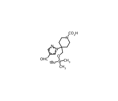 CC(C)(C)[Si](C)(C)OCC1(n2cc(C=O)cn2)CCN(C(=O)O)CC1